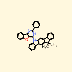 CC1(C)c2ccccc2-c2cc3c(cc21)c1ccccc1n3-c1nc(-c2ccccc2)nc2c1oc1ccccc12